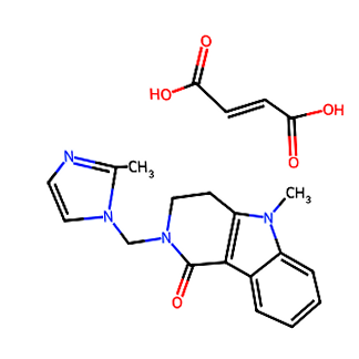 Cc1nccn1CN1CCc2c(c3ccccc3n2C)C1=O.O=C(O)C=CC(=O)O